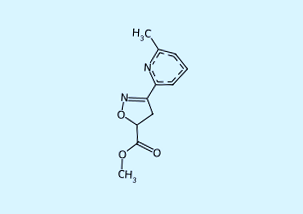 COC(=O)C1CC(c2cccc(C)n2)=NO1